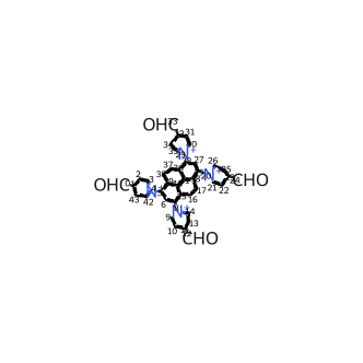 O=Cc1cc[n+](-c2cc(-[n+]3ccc(C=O)cc3)c3ccc4c(-[n+]5ccc(C=O)cc5)cc(-[n+]5ccc(C=O)cc5)c5ccc2c3c54)cc1